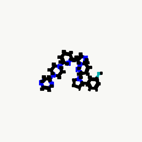 Fc1cccc(C2CCCN2c2ccc3ncc(-c4cccc(N5CCN(c6cnccn6)CC5)n4)n3n2)c1